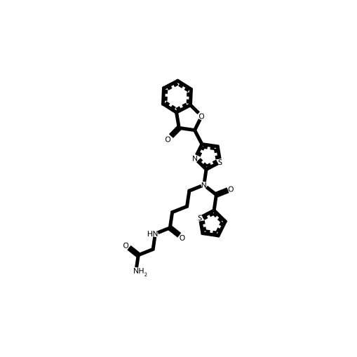 NC(=O)CNC(=O)CCCN(C(=O)c1cccs1)c1nc(C2Oc3ccccc3C2=O)cs1